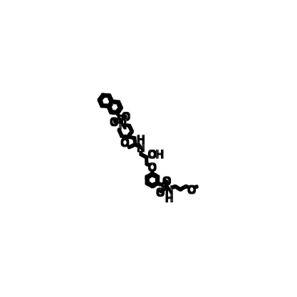 COCCCNS(=O)(=O)c1cccc(OC[C@@H](O)CNC2COC3(CCN(S(=O)(=O)c4ccc5ccccc5c4)CC3)C2)c1